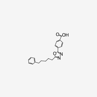 O=C(O)c1ccc(-c2nnc(CCCCCc3ccccc3)o2)cc1